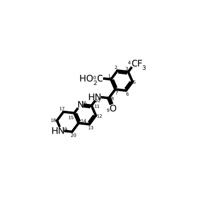 O=C(O)c1cc(C(F)(F)F)ccc1C(=O)Nc1ccc2c(n1)CCNC2